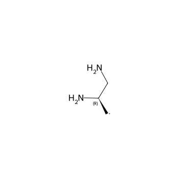 [CH2][C@@H](N)CN